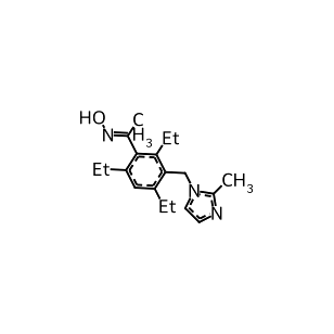 CCc1cc(CC)c(C(C)=NO)c(CC)c1Cn1ccnc1C